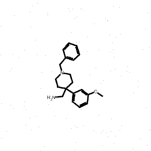 COc1cccc(C2(CN)CCN(Cc3ccccc3)CC2)c1